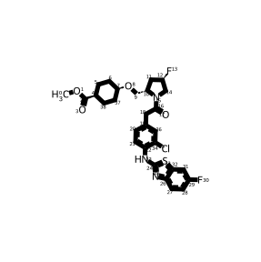 COC(=O)[C@H]1CC[C@H](OC[C@@H]2C[C@H](F)CN2C(=O)Cc2ccc(Nc3nc4ccc(F)cc4s3)c(Cl)c2)CC1